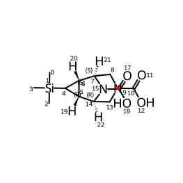 C[Si](C)(C)C1[C@@H]2[C@H]1[C@H]1CN(C(=O)O)C[C@@H]2N1C(=O)O